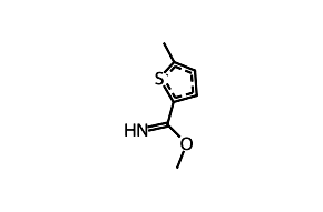 COC(=N)c1ccc(C)s1